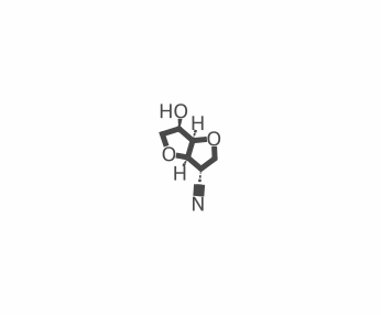 N#C[C@H]1CO[C@H]2[C@@H]1OC[C@H]2O